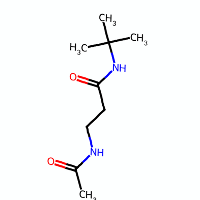 CC(=O)NCCC(=O)NC(C)(C)C